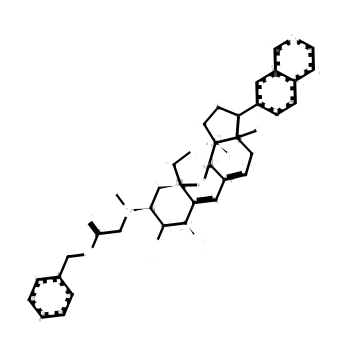 CN(CC(=O)OCc1ccccc1)[C@H]1C[C@@]23CC[C@@]4(O2)C(=CCC2(C)C(c5ccc6ccncc6c5)CC[C@H]24)C=C3[C@@H](O)C1O